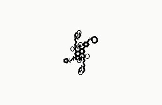 O=C1c2cc(-c3ccc(CN4CCCCCC4)cc3)c3c4c(cc(NCCN5CCCC5)c(c24)C(=O)N1CCCN1CCOCC1)C(=O)N(CCCN1CCOCC1)C3=O